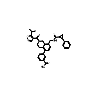 CC(C)c1oncc1C(=O)N1CCc2c(-c3cccc(C(=O)O)c3)ccc(CNC(=O)C3CC3c3ccccc3)c2C1